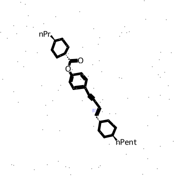 CCCCC[C@H]1CC[C@H](/C=C/C#Cc2ccc(OC(=O)[C@H]3CC[C@H](CCC)CC3)cc2)CC1